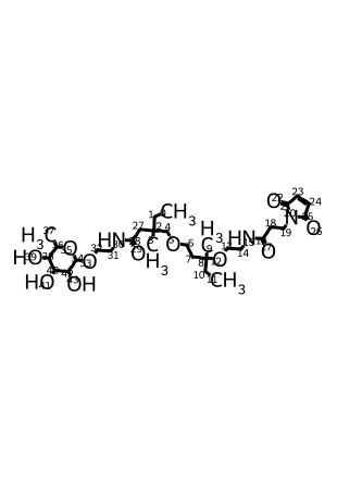 CCC(C)(COCCC(C)(CC)OCCNC(=O)CCN1C(=O)C=CC1=O)CC(=O)NCCOC1OC(C)C(O)C(O)C1O